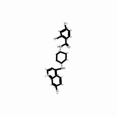 O=C(N[C@H]1CC[C@@H](Nc2ccnc3cc(Cl)ccc23)CC1)c1ccc(F)cc1F